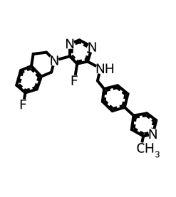 Cc1cc(-c2ccc(CNc3ncnc(N4CCc5ccc(F)cc5C4)c3F)cc2)ccn1